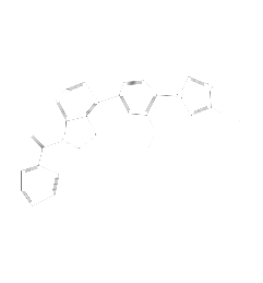 COc1cc(-c2cccc3c2CCN3C(=O)c2ccccc2)ccc1-n1cnc(C)c1